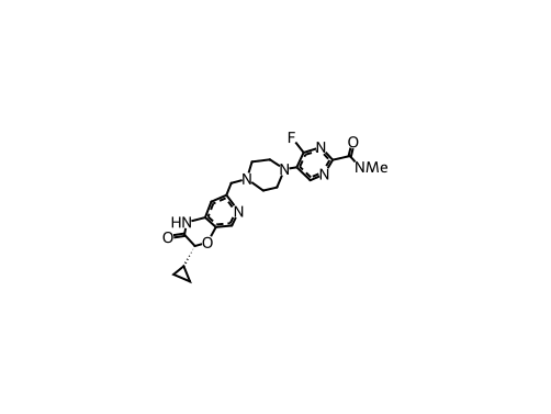 CNC(=O)c1ncc(N2CCN(Cc3cc4c(cn3)O[C@H](C3CC3)C(=O)N4)CC2)c(F)n1